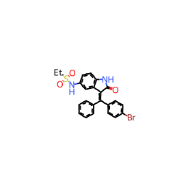 CCS(=O)(=O)Nc1ccc2c(c1)/C(=C(\c1ccccc1)c1ccc(Br)cc1)C(=O)N2